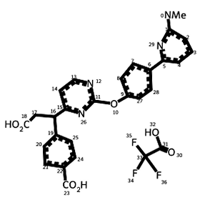 CNc1cccc(-c2ccc(Oc3nccc(C(CC(=O)O)c4ccc(C(=O)O)cc4)n3)cc2)n1.O=C(O)C(F)(F)F